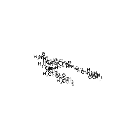 CC(C)C(NC(=O)C(C)(C)CCOCCC(=O)C(C)(C)C)C(=O)N[C@H](CCCNC(N)=O)C(=O)Nc1ccc(COC(=O)NCCOCCOCCNC(=O)C(C)(C)C)cc1